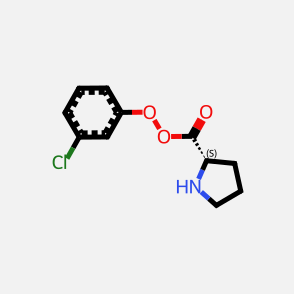 O=C(OOc1cccc(Cl)c1)[C@@H]1CCCN1